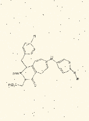 CCOC(=O)Cn1c(=O)c2c(n(Cc3ccc(Cl)cc3)c1=O)C=CC(Nc1ccc(OC(C)C)cc1)=CC2